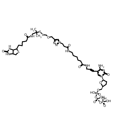 CC(C)(CNC(=O)CCCCC1SCC2NC(=O)NC21)SSCOCc1cn(CCC(=O)NCCCCCC(=O)NCC#Cc2cn([C@H]3CC[C@@H](COP(=O)(O)OP(=O)(O)OP(=O)(O)O)O3)c(=O)nc2N)nn1